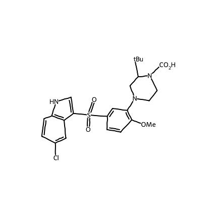 COc1ccc(S(=O)(=O)c2c[nH]c3ccc(Cl)cc23)cc1N1CCN(C(=O)O)C(C(C)(C)C)C1